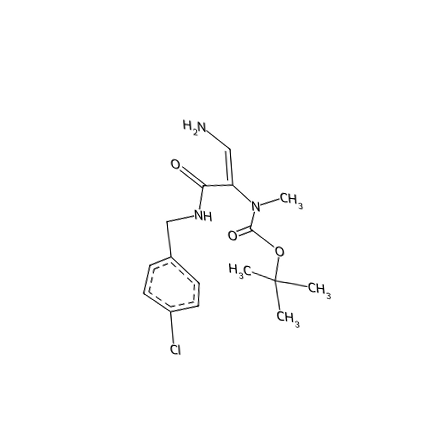 CN(C(=O)OC(C)(C)C)/C(=C/N)C(=O)NCc1ccc(Cl)cc1